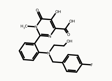 Cn1c(-c2ccccc2N(CCO)Cc2ccc(F)cc2)nc(C(=O)O)c(O)c1=O